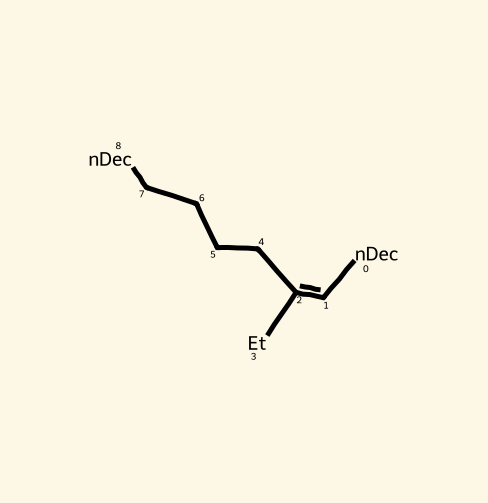 CCCCCCCCCCC=C(CC)CCCCCCCCCCCCCC